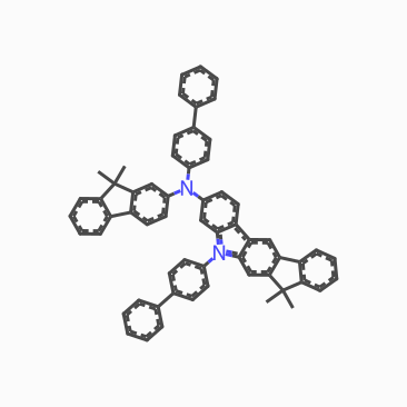 CC1(C)c2ccccc2-c2ccc(N(c3ccc(-c4ccccc4)cc3)c3ccc4c5cc6c(cc5n(-c5ccc(-c7ccccc7)cc5)c4c3)C(C)(C)c3ccccc3-6)cc21